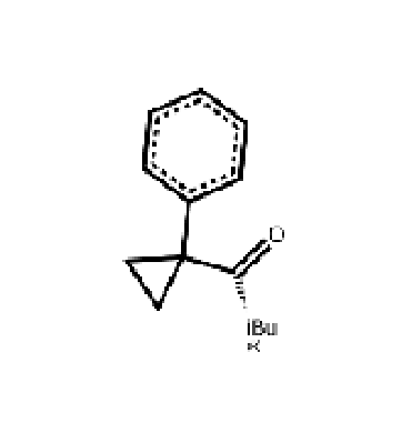 CC[C@@H](C)C(=O)C1(c2ccccc2)CC1